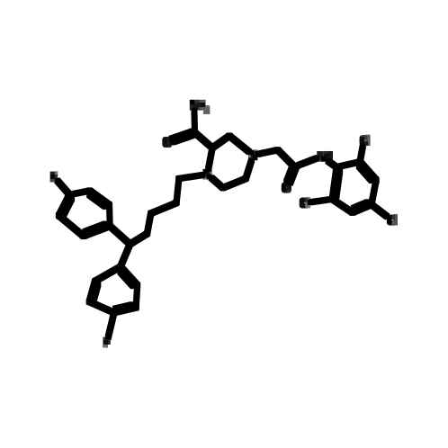 NC(=O)C1CN(CC(=O)Nc2c(Cl)cc(Cl)cc2Cl)CCN1CCCCC(c1ccc(F)cc1)c1ccc(F)cc1